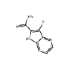 COC(=O)c1[nH]c2ccccc2c1F